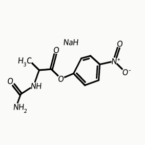 CC(NC(N)=O)C(=O)Oc1ccc([N+](=O)[O-])cc1.[NaH]